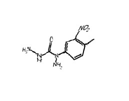 Cc1ccc(N(N)C(=O)NN)cc1[N+](=O)[O-]